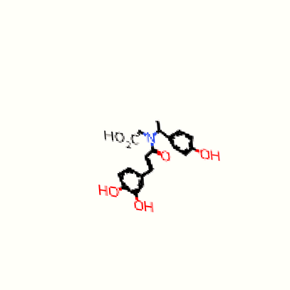 CC(c1ccc(O)cc1)N(CC(=O)O)C(=O)C=Cc1ccc(O)c(O)c1